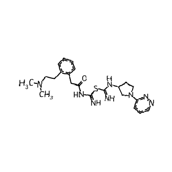 CN(C)CCc1ccccc1CC(=O)NC(=N)SC(=N)NC1CCN(c2cccnn2)C1